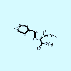 CN[C@@H](CCC1CCOCC1)C(=O)O